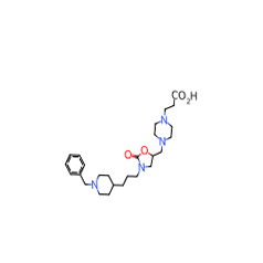 O=C(O)CCN1CCN(CC2CN(CCCC3CCN(Cc4ccccc4)CC3)C(=O)O2)CC1